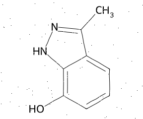 Cc1n[nH]c2c(O)cccc12